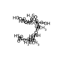 CC1CCCC2C(OC(=O)N(CCOCCO)CCN(C)C(=O)OCC3CCC(NC(=O)CNC(=O)[C@@H](NC(=O)OCCOCCN4C(=O)CC(S)C4=O)C(C)C)CC3)CC3C(CCN3C(=O)c3cn4cc(NC(=O)C5CCC(O)CC5)ccc4n3)C12